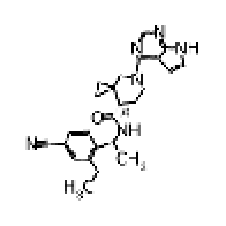 CCc1cc(C#N)ccc1C(C)NC(=O)[C@H]1CCN(c2ncnc3[nH]ccc23)CC12CC2